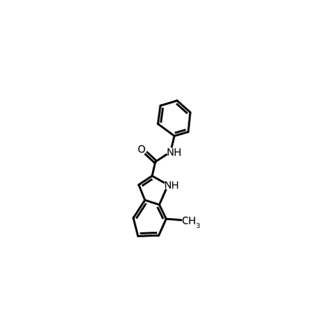 Cc1cccc2cc(C(=O)Nc3ccccc3)[nH]c12